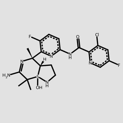 CC1(C)C(N)=N[C@](C)(c2nc(NC(=O)c3ncc(F)cc3Cl)ccc2F)[C@@H]2CCNS21O